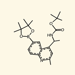 Cc1cc(C(C)NC(=O)OC(C)(C)C)c2cc(B3OC(C)(C)C(C)(C)O3)ccc2n1